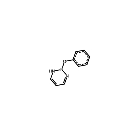 C1=CNN(Oc2ccccc2)N=C1